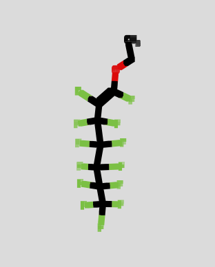 CCOC(F)=C(F)C(F)(F)C(F)(F)C(F)(F)C(F)(F)C(F)(F)F